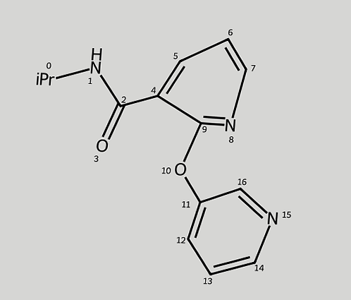 CC(C)NC(=O)c1cccnc1Oc1cccnc1